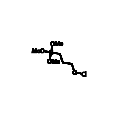 CO[Si](CCCOCl)(OC)OC